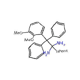 CCCCCC(N)(N)C(c1ccccc1)(c1ccccc1)c1cccc(OC)c1OC